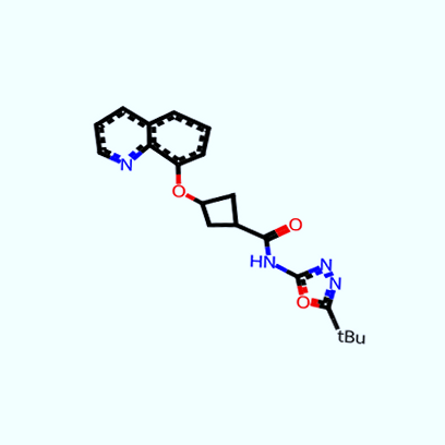 CC(C)(C)c1nnc(NC(=O)C2CC(Oc3cccc4cccnc34)C2)o1